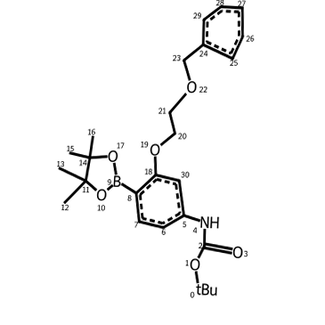 CC(C)(C)OC(=O)Nc1ccc(B2OC(C)(C)C(C)(C)O2)c(OCCOCc2ccccc2)c1